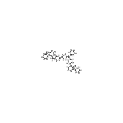 CC1(C)c2ccc(-c3ccc4c(c3)c3cc(-c5cccc6c5oc5ccccc56)ccc3n4-c3ccccc3)cc2-c2ccc3oc4ccccc4c3c21